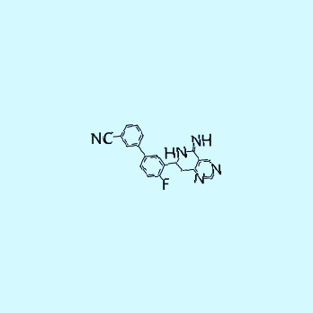 N#Cc1cccc(-c2ccc(F)c(C3Cc4ncncc4C(=N)N3)c2)c1